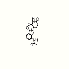 CC(=O)Nc1cccc2c1CN(C1CCC(=O)NC1=O)C2=O